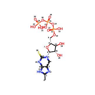 Cc1nc2cn([C@@H]3O[C@H](COP(=O)(O)OP(=O)(O)OP(=O)(O)O)C(O)[C@@H]3O)c(=S)nc2[nH]1